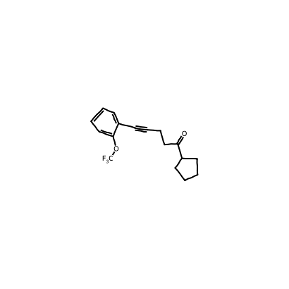 O=C(CCC#Cc1ccccc1OC(F)(F)F)C1CCCC1